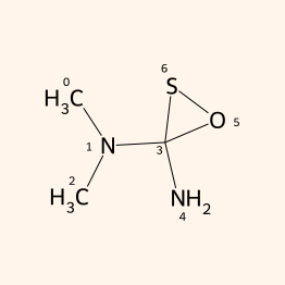 CN(C)C1(N)OS1